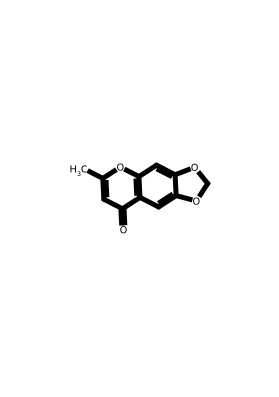 Cc1cc(=O)c2[c]c3c(cc2o1)OCO3